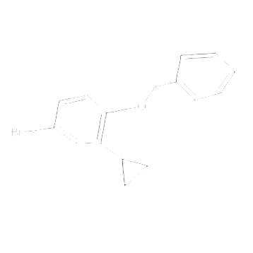 Brc1ccc(OCc2ccccc2)c(C2CC2)c1